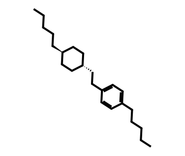 CCCCCc1ccc(CC[C@H]2CC[C@H](CCCCC)CC2)cc1